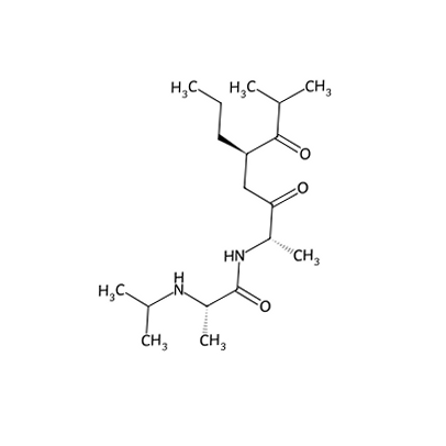 CCC[C@H](CC(=O)[C@H](C)NC(=O)[C@H](C)NC(C)C)C(=O)C(C)C